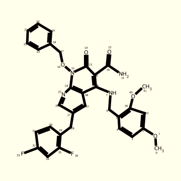 COc1ccc(CNc2c(C(N)=O)c(=O)n(OCc3ccccc3)c3ncc(Cc4ccc(F)cc4F)cc23)c(OC)c1